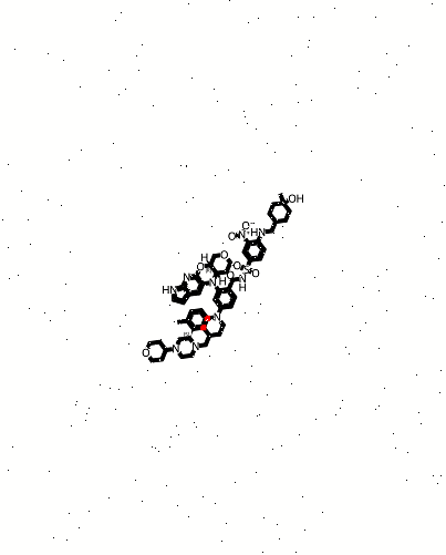 Cc1ccccc1[C@H]1CN(C2CCOCC2)CCN1CC1CCN(c2ccc(C(=O)NS(=O)(=O)c3ccc(NCC4CCC(C)(O)CC4)c([N+](=O)[O-])c3)c(N3c4cc5cc[nH]c5nc4O[C@H]4COCC[C@@H]43)c2)CC1